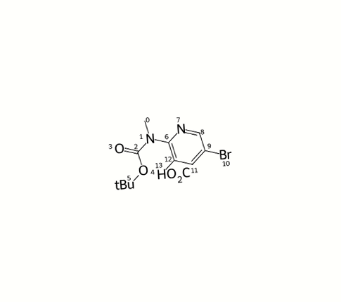 CN(C(=O)OC(C)(C)C)c1ncc(Br)cc1C(=O)O